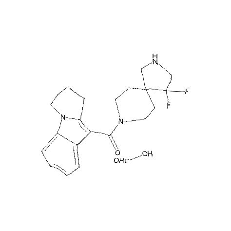 O=C(c1c2n(c3ccccc13)CCC2)N1CCC2(CC1)CNCC2(F)F.O=CO